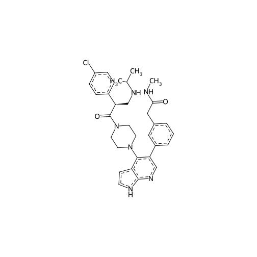 CNC(=O)Cc1cccc(-c2cnc3[nH]ccc3c2N2CCN(C(=O)[C@H](CNC(C)C)c3ccc(Cl)cc3)CC2)c1